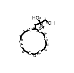 OCC(O)(Br)CC1CCCCCCCCCCCCCC1